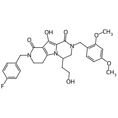 COc1ccc(CN2CC(CCO)n3c4c(c(O)c3C2=O)C(=O)N(Cc2ccc(F)cc2)CC4)c(OC)c1